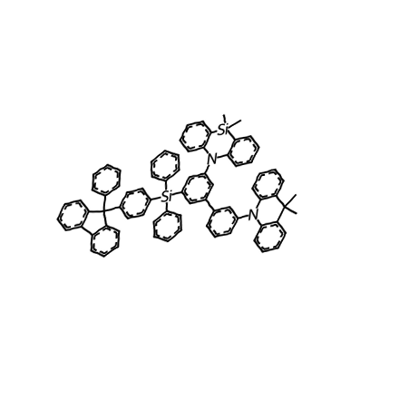 CC1(C)c2ccccc2N(c2cccc(-c3cc(N4c5ccccc5[Si](C)(C)c5ccccc54)cc([Si](c4ccccc4)(c4ccccc4)c4ccc(C5(c6ccccc6)c6ccccc6-c6ccccc65)cc4)c3)c2)c2ccccc21